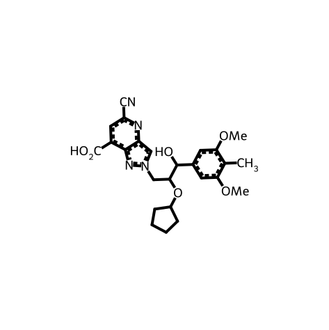 COc1cc(C(O)C(Cn2cc3nc(C#N)cc(C(=O)O)c3n2)OC2CCCC2)cc(OC)c1C